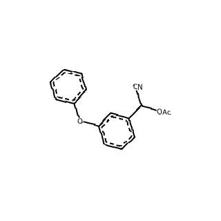 CC(=O)OC(C#N)c1cccc(Oc2ccccc2)c1